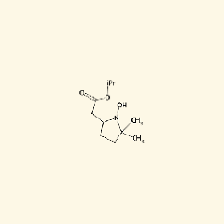 CC(C)OC(=O)CC1CCC(C)(C)N1O